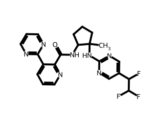 CC1(Nc2ncc(C(F)C(F)F)cn2)CCCC1NC(=O)c1ncccc1-c1ncccn1